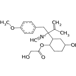 C#[N+]C(Cc1ccc(OC)cc1)(C(=C)C)C1CC(O)CCC1OC(=O)CO